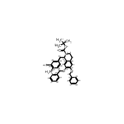 CC(C)(C)OC(=O)N1CCc2cc(OCc3ccccc3)c(OCc3ccccc3)cc2C1Cc1ccc(N)c(I)c1